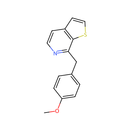 COc1ccc(Cc2nccc3ccsc23)cc1